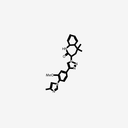 COc1cc(-c2cn(C3CC(C)(C)C4C=CC=CC4NC3=O)nn2)ccc1-n1cnc(C)c1